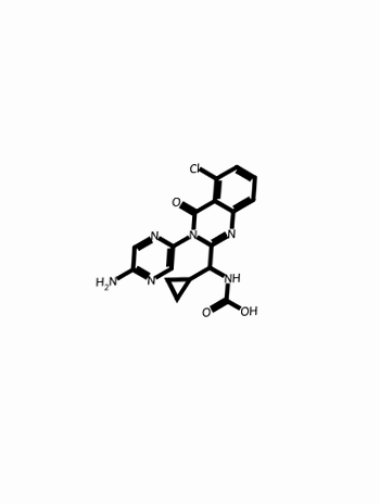 Nc1cnc(-n2c(C(NC(=O)O)C3CC3)nc3cccc(Cl)c3c2=O)cn1